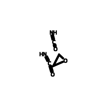 C1CO1.N=C=O.N=C=O